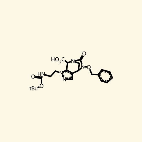 CC(C)(C)OC(=O)NCCn1ncc2c1C(C(=O)O)N1CC2N(OCc2ccccc2)C1=O